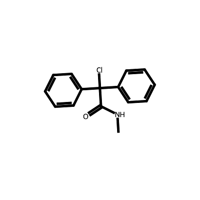 CNC(=O)C(Cl)(c1ccccc1)c1ccccc1